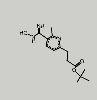 Cc1nc(CCC(=O)OC(C)(C)C)ccc1C(=N)NO